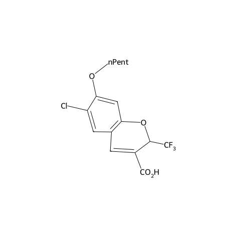 CCCCCOc1cc2c(cc1Cl)C=C(C(=O)O)C(C(F)(F)F)O2